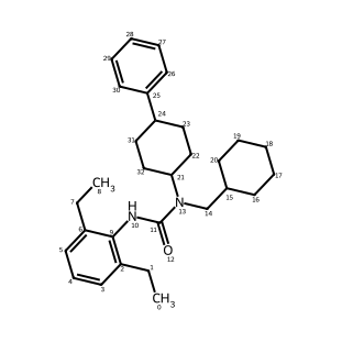 CCc1cccc(CC)c1NC(=O)N(CC1CCCCC1)C1CCC(c2ccccc2)CC1